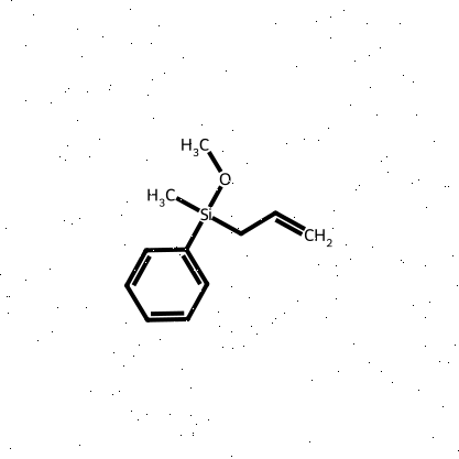 C=CC[Si](C)(OC)c1ccccc1